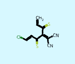 C=CC(=S)C(C(=S)C=CCl)=C(C#N)C#N